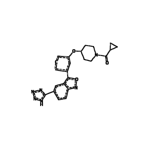 O=C(C1CC1)N1CCC(Oc2cccc(-c3onc4ccc(-c5nnn[nH]5)cc34)c2)CC1